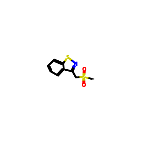 [CH2]S(=O)(=O)Cc1nsc2ccccc12